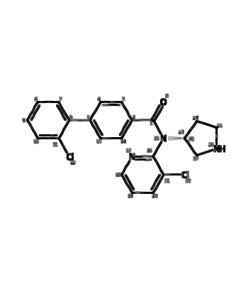 O=C(c1ccc(-c2ccccc2Cl)cc1)N(c1ncccc1Cl)[C@@H]1CCNC1